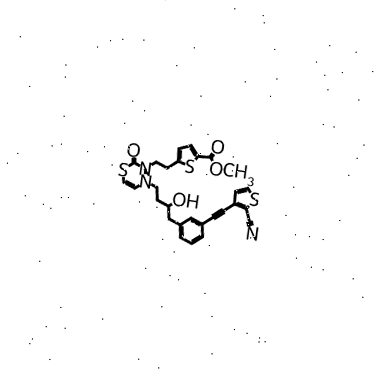 COC(=O)c1ccc(CCN2C(=O)SC=CN2CCC(O)Cc2cccc(C#Cc3ccsc3C#N)c2)s1